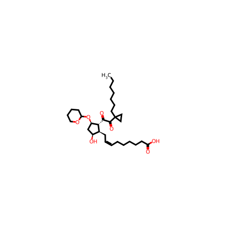 CCCCCCCC1(C(=O)C(=O)[C@@H]2[C@@H](C/C=C\CCCCCC(=O)O)[C@@H](O)C[C@H]2OC2CCCCO2)CC1